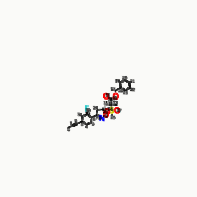 CC#Cc1ccc(C2=NO[C@@H](C[C@](C)(C(=O)OCc3ccccc3)S(C)(=O)=O)C2)c(F)c1